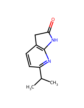 CC(C)c1ccc2c(n1)NC(=O)C2